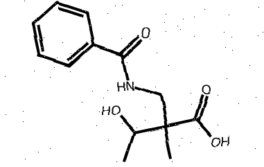 CC(O)C(C)(CNC(=O)c1ccccc1)C(=O)O